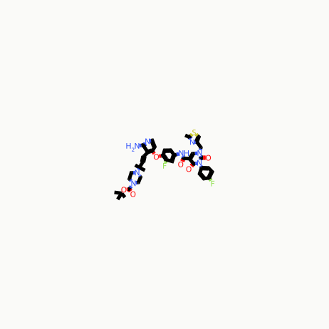 Cc1nc(Cn2cc(C(=O)Nc3ccc(Oc4ccnc(N)c4C#CC(C)(C)N4CCN(C(=O)OC(C)(C)C)CC4)c(F)c3)c(=O)n(-c3ccc(F)cc3)c2=O)cs1